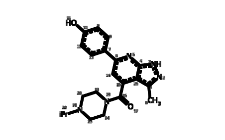 Cc1n[nH]c2nc(-c3ccc(O)cc3)cc(C(=O)N3CCN(C(C)C)CC3)c12